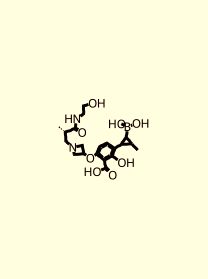 CC1C(B(O)O)C1c1ccc(OC2CN(C[C@H](C)C(=O)NCCO)C2)c(C(=O)O)c1O